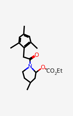 CCOC(=O)OC1CC(C)CCN1C(=O)Cc1c(C)cc(C)cc1C